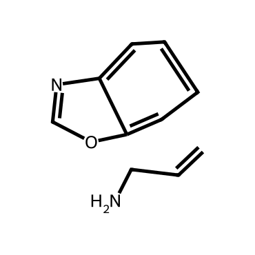 C=CCN.c1ccc2ocnc2c1